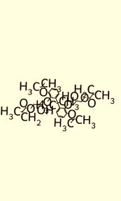 C=C(C)C(=O)OCC(O)COc1c(OC(C)C)cccc1C(C)(C)c1cccc(OC(C)C)c1OCC(O)COC(=O)C(=C)C